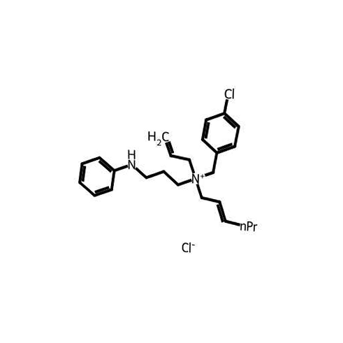 C=CC[N+](CC=CCCC)(CCCNc1ccccc1)Cc1ccc(Cl)cc1.[Cl-]